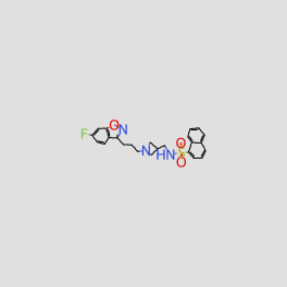 O=S(=O)(NCC1CN(CCCc2noc3cc(F)ccc23)C1)c1cccc2ccccc12